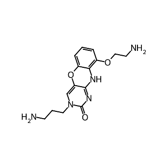 NCCCn1cc2c(nc1=O)Nc1c(OCCN)cccc1O2